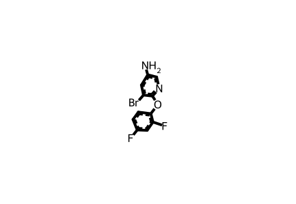 Nc1cnc(Oc2ccc(F)cc2F)c(Br)c1